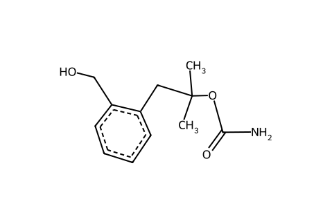 CC(C)(Cc1ccccc1CO)OC(N)=O